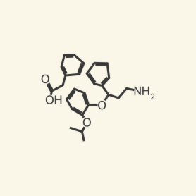 CC(C)Oc1ccccc1OC(CCN)c1ccccc1.O=C(O)Cc1ccccc1